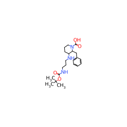 CC(C)(C)OC(=O)NCCCNC1CCCN(C(=O)O)C1Cc1ccccc1